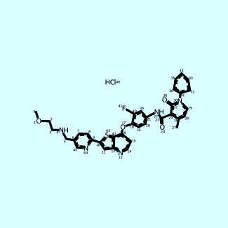 COCCNCc1ccc(-c2cc3nccc(Oc4ccc(NC(=O)c5c(C)ccn(-c6ccccc6)c5=O)cc4F)c3s2)nc1.Cl